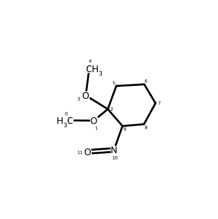 COC1(OC)CCCCC1N=O